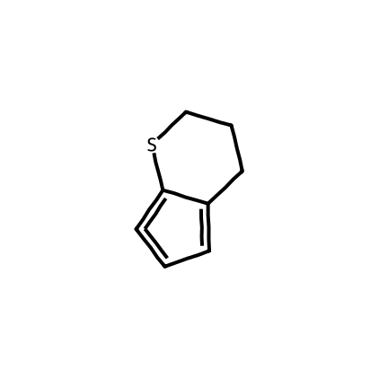 C1=CC=C2CCCSC=12